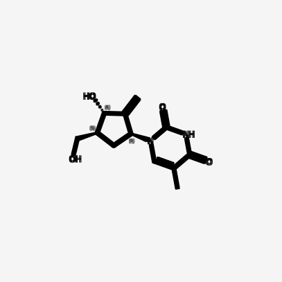 C=C1[C@@H](O)[C@H](CO)C[C@@H]1n1cc(C)c(=O)[nH]c1=O